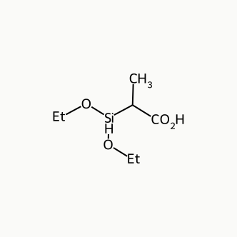 CCO[SiH](OCC)C(C)C(=O)O